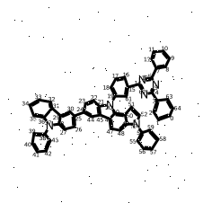 c1ccc(-c2nc(-c3ccccc3)nc(-c3cccc(-n4c5ccc(-c6ccc7c(c6)c6ccccc6n7-c6ccccc6)cc5c5ccc6c(ccn6-c6ccccc6)c54)c3)n2)cc1